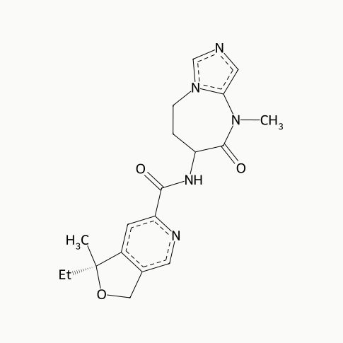 CC[C@@]1(C)OCc2cnc(C(=O)NC3CCn4cncc4N(C)C3=O)cc21